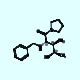 C[C@H]([C@H](NCc1ccccc1)C(=O)N1CCCC1)[C@@H](C)O